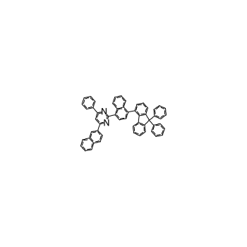 c1ccc(-c2cc(-c3ccc4ccccc4c3)nc(-c3ccc(-c4cccc5c4-c4ccccc4C5(c4ccccc4)c4ccccc4)c4ccccc34)n2)cc1